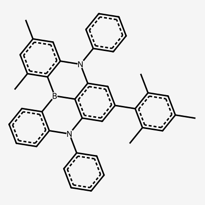 Cc1cc(C)c(-c2cc3c4c(c2)N(c2ccccc2)c2cc(C)cc(C)c2B4c2ccccc2N3c2ccccc2)c(C)c1